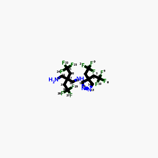 FC(F)(F)CC1(CC(F)(F)F)CN=NC1.NCC(CN)(CC(F)(F)F)CC(F)(F)F